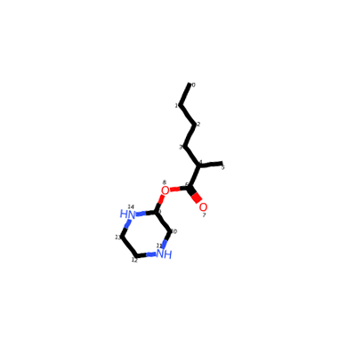 CCCCC(C)C(=O)OC1CNCCN1